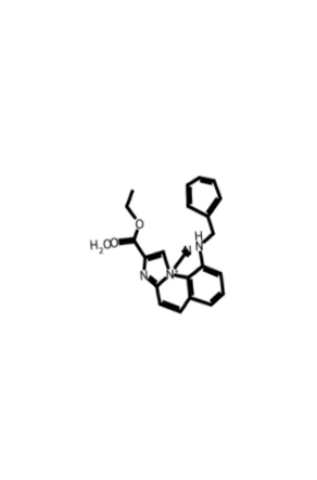 CCOC(=O)C1=C[N+]2(C#N)C(=N1)C=Cc1cccc(NCc3ccccc3)c12.O